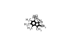 CC1=C(C)[C](C)([Ti])c2c(C)c(C)c(C)c(C)c21.Cl.Cl.Cl